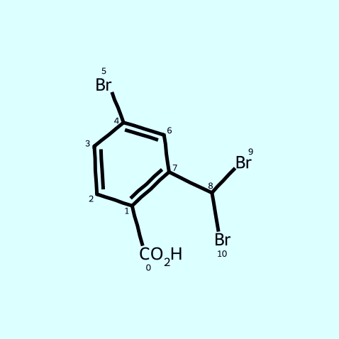 O=C(O)c1ccc(Br)cc1C(Br)Br